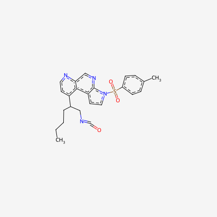 CCCCC(CN=C=O)c1ccnc2cnc3c(ccn3S(=O)(=O)c3ccc(C)cc3)c12